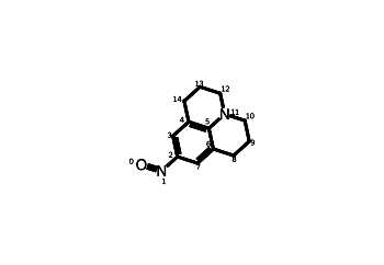 O=Nc1cc2c3c(c1)CCCN3CCC2